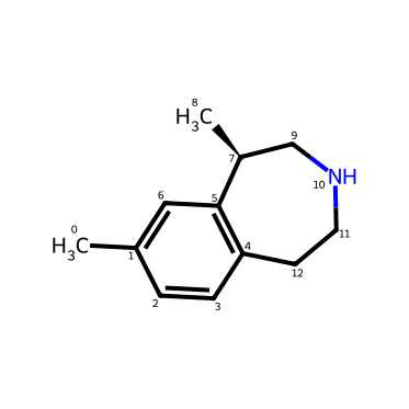 Cc1ccc2c(c1)[C@@H](C)CNCC2